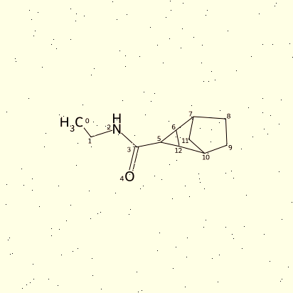 CCNC(=O)C1C2C3CCC(C3)C12